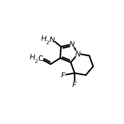 C=Cc1c(N)nn2c1C(F)(F)CCC2